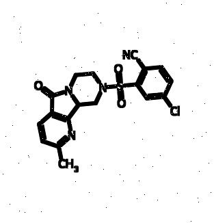 Cc1ccc2c(n1)C1CN(S(=O)(=O)c3cc(Cl)ccc3C#N)CCN1C2=O